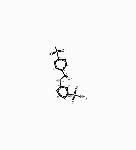 CS(=O)(=O)c1ccc(C(=O)Nc2cccc(S(N)(=O)=O)c2)cc1